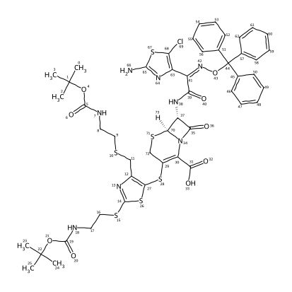 CC(C)(C)OC(=O)NCCSCc1nc(SCCNC(=O)OC(C)(C)C)sc1SC1=C(C(=O)O)N2C(=O)[C@@H](NC(=O)/C(=N\OC(c3ccccc3)(c3ccccc3)c3ccccc3)c3nc(N)sc3Cl)[C@@H]2SC1